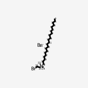 CCCCCCCCCCCCCCCCCCCCCC[N+](C)(C)CCBr.[Br-]